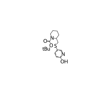 CC(C)(C)OC(=O)N1CCCCC1CSc1ccc(O)nc1